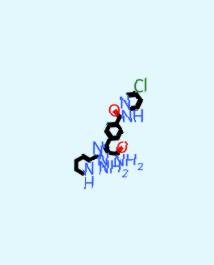 NC(=O)c1c(-c2ccc(C(=O)Nc3ccc(Cl)cn3)cc2)nc(C2CCCCN2)n1N